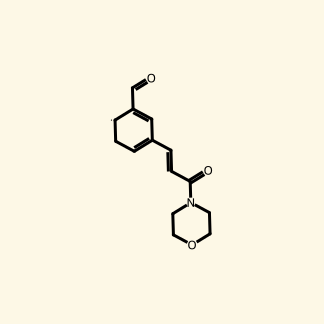 O=CC1=CC(/C=C/C(=O)N2CCOCC2)=CC[CH]1